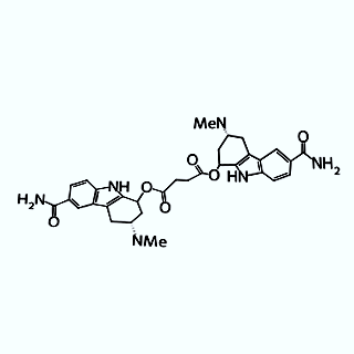 CN[C@@H]1Cc2c([nH]c3ccc(C(N)=O)cc23)C(OC(=O)CCC(=O)OC2C[C@H](NC)Cc3c2[nH]c2ccc(C(N)=O)cc32)C1